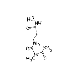 CN(C(N)=O)C(=O)NC[CH]C(=O)NO